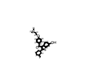 CC1CCCC(c2sc3cc(O)ccc3c2C(=O)c2ccc(OCCN(C)C)cc2)C1